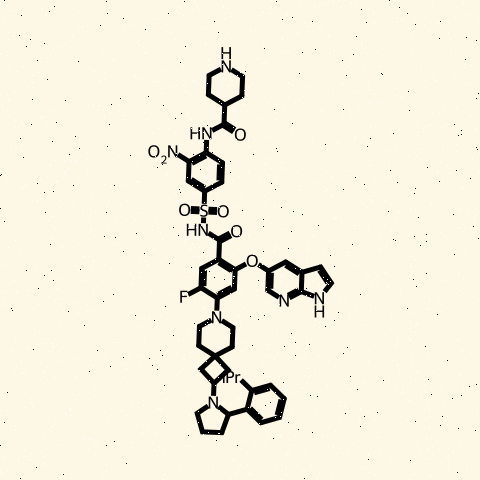 CC(C)c1ccccc1C1CCCN1C1CC2(CCN(c3cc(Oc4cnc5[nH]ccc5c4)c(C(=O)NS(=O)(=O)c4ccc(NC(=O)C5CCNCC5)c([N+](=O)[O-])c4)cc3F)CC2)C1